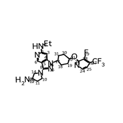 CCNc1cc2c(cn1)c(N1CC[C@H](N)C1)nn2C1CCC(Oc2nccc(C(F)(F)F)c2F)CC1